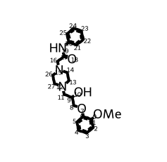 COc1ccccc1OCC(O)CN1CCN(CC(=O)Nc2ccccc2)CC1